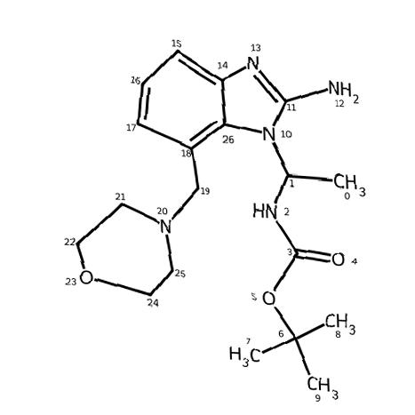 CC(NC(=O)OC(C)(C)C)n1c(N)nc2cccc(CN3CCOCC3)c21